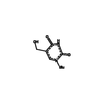 CC(C)(C)n1cc(CO)c(=O)[nH]c1=O